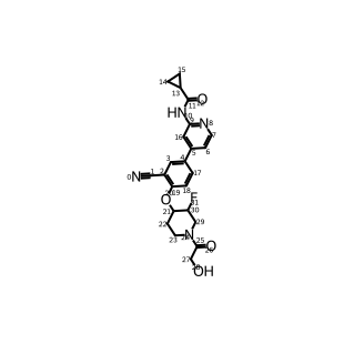 N#Cc1cc(-c2ccnc(NC(=O)C3CC3)c2)ccc1OC1CCN(C(=O)CO)CC1F